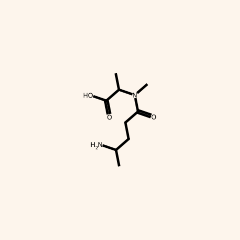 CC(N)CCC(=O)N(C)C(C)C(=O)O